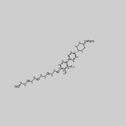 CCCCC[C@H]1CC[C@H](c2ccc(-c3ccc(OCCOCCOCCOCCO)c(F)c3F)cc2)CC1